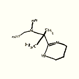 CCCCCCCCN(CCC)C(C)(C)C1=NCCCN1